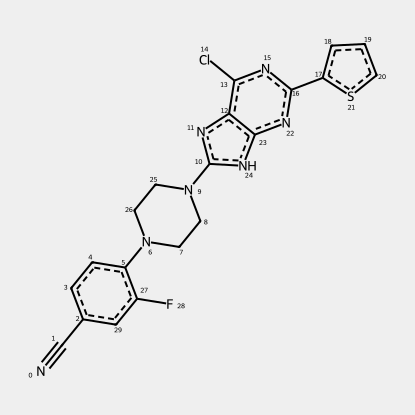 N#Cc1ccc(N2CCN(c3nc4c(Cl)nc(-c5cccs5)nc4[nH]3)CC2)c(F)c1